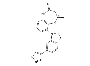 C[C@@H]1CC(=O)Nc2cccc(N3CCc4ccc(-c5cnn(C)c5)cc43)c2N1